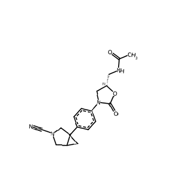 CC(=O)NC[C@H]1CN(c2ccc(C34CC3CN(C#N)C4)cc2)C(=O)O1